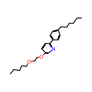 CCCCCCc1ccc(-c2ccc(OCCOCCCCC)cn2)cc1